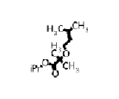 CC(C)=CCOC(C)(C)C(=O)OC(C)C